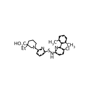 CCC1(C(=O)O)CCCN(c2cccc(SNc3ccc(Cl)c(-c4c(C)cccc4C)n3)n2)C1